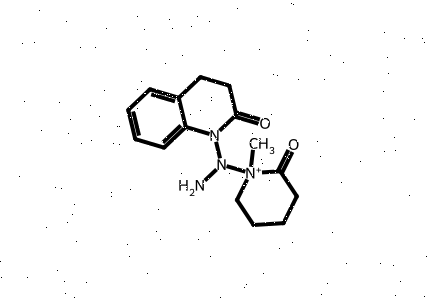 C[N+]1(N(N)N2C(=O)CCc3ccccc32)CCCCC1=O